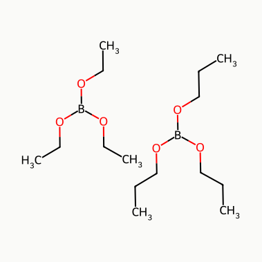 CCCOB(OCCC)OCCC.CCOB(OCC)OCC